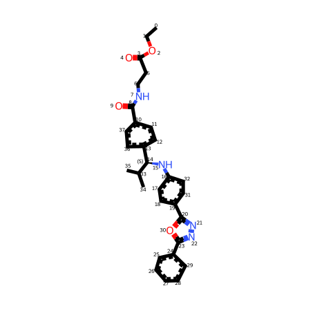 CCOC(=O)CCNC(=O)c1ccc([C@@H](Nc2ccc(-c3nnc(-c4ccccc4)o3)cc2)C(C)C)cc1